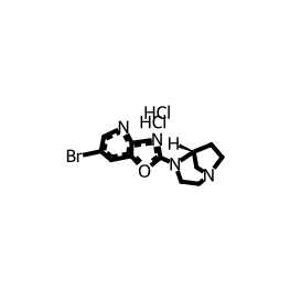 Brc1cnc2nc(N3CCN4CC[C@@H]3C4)oc2c1.Cl.Cl